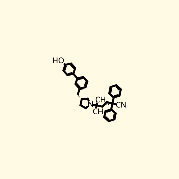 CC(C)(CCC(C#N)(c1ccccc1)c1ccccc1)N1CC[C@H](Cc2cccc(-c3ccc(O)cc3)c2)C1